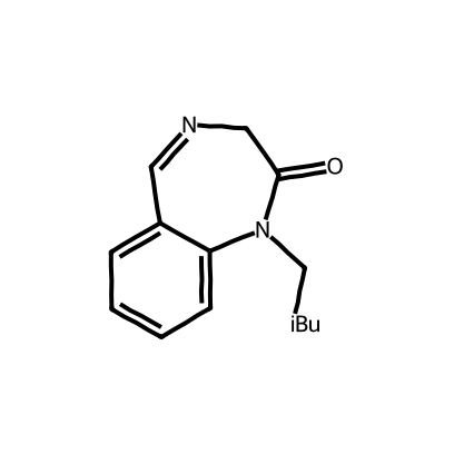 CCC(C)CN1C(=O)CN=Cc2ccccc21